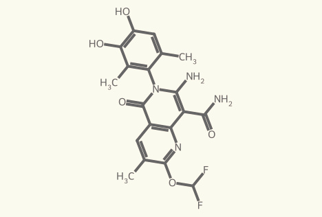 Cc1cc2c(=O)n(-c3c(C)cc(O)c(O)c3C)c(N)c(C(N)=O)c2nc1OC(F)F